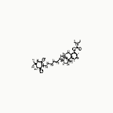 CN(C)C(=O)Oc1cccc2c1CC[C@@H]1[C@H]2CCN1CCCCCCN1C(=O)CC(C)(C)CC1=O